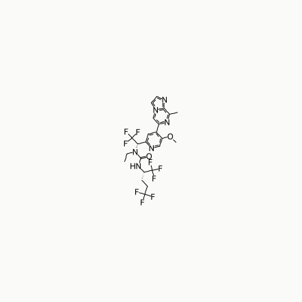 CCN(C(=O)N[C@@H](CCC(F)(F)F)C(F)(F)F)[C@@H](c1cc(-c2cn3ccnc3c(C)n2)c(OC)cn1)C(F)(F)F